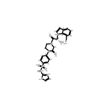 C[C@H](C(=O)N1CCN(c2ccc(S(=O)(=O)Nc3nccs3)cc2)C(=O)C1)n1ccc2cccc(F)c21